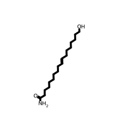 NC(=O)CCCCCCCCC=CCCCCCCCO